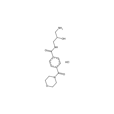 Cl.NCC(O)CNC(=O)c1ccc(C(=O)N2CCOCC2)cc1